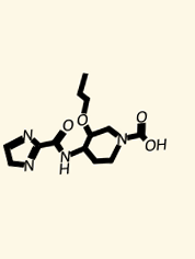 CCCOC1CN(C(=O)O)CCC1NC(=O)C1=NCC=N1